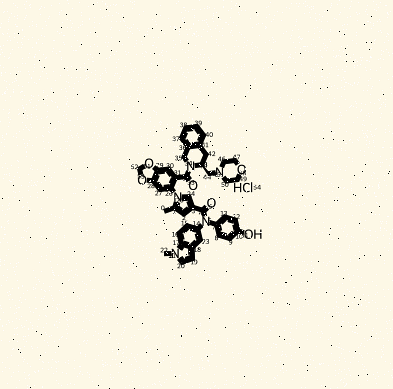 Cc1cc(C(=O)N(c2ccc(O)cc2)c2ccc3c(ccn3C)c2)cn1-c1cc2c(cc1C(=O)N1Cc3ccccc3C[C@H]1CN1CCOCC1)OCO2.Cl